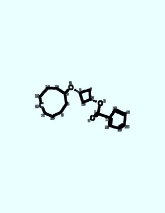 O=C(O[C@H]1C[C@@H](OC2CCCCCCCC2)C1)c1ccccc1